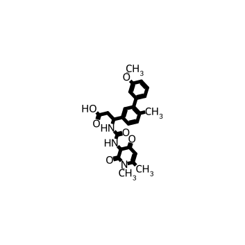 COc1cccc(-c2cc(C(CC(=O)O)NC(=O)NC3C(=O)C=C(C)N(C)C3=O)ccc2C)c1